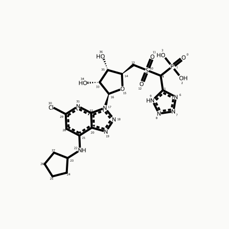 O=P(O)(O)C(c1nnn[nH]1)S(=O)(=O)C[C@H]1O[C@@H](n2nnc3c(NC4CCCC4)cc(Cl)nc32)[C@H](O)[C@@H]1O